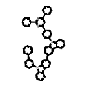 c1ccc(-c2cccc(-n3c4ccccc4c4ccc(-c5ccc6c(c5)c5ccccc5n6-c5ccc(-c6cc(-c7ccccc7)nc(-c7ccccc7)n6)cc5)cc43)c2)cc1